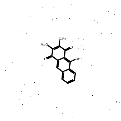 COC1=C(OC)C(=O)c2c(cc3ccccc3c2O)C1=O